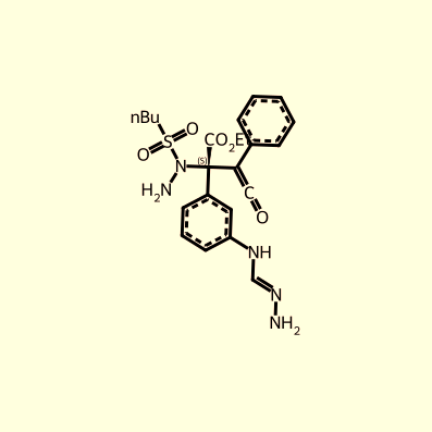 CCCCS(=O)(=O)N(N)[C@](C(=O)OCC)(C(=C=O)c1ccccc1)c1cccc(NC=NN)c1